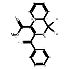 COC(=O)C1=C(C(=O)c2ccccc2)SC(F)(F)C2C=CC=CN12